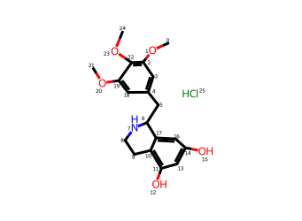 COc1cc(CC2NCCc3c(O)cc(O)cc32)cc(OC)c1OC.Cl